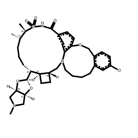 C[C@@H]1[C@@H](C)CCC[C@@H]([C@@H]2O[C@H]3CN(C)C[C@H]3O2)[C@@H]2CC[C@H]2CN2CCCCc3cc(Cl)ccc3COc3ccc(cc32)C(=O)NS1(=O)=O